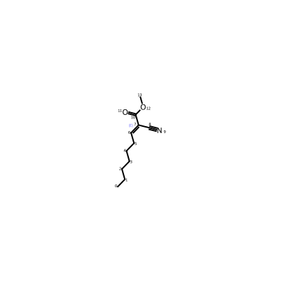 CCCCCC/C=C(\C#N)C(=O)OC